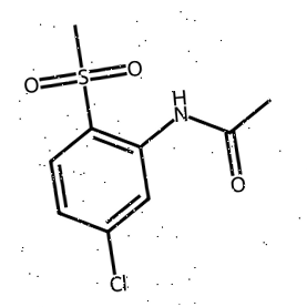 CC(=O)Nc1cc(Cl)ccc1S(C)(=O)=O